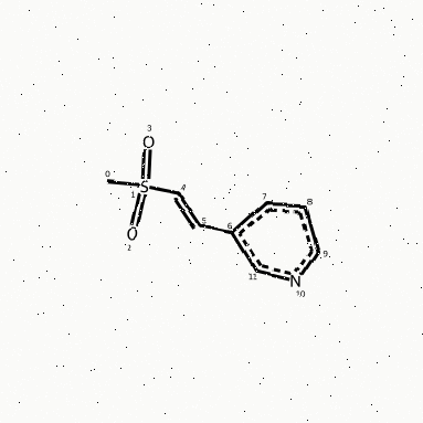 CS(=O)(=O)/C=C/c1cccnc1